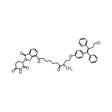 CN(CCOc1ccc(C(=C(CCCl)c2ccccc2)c2ccccc2)cc1)C(=O)CCCCCNc1cccc2c1CN(C1CCC(=O)NC1=O)C2=O